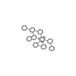 c1ccc(-c2cccc(-c3nc(-c4cccc(-c5ccc(-c6ccccc6)cc5-c5cccc6ccccc56)c4)nc(-c4ccccc4-c4ccccc4)n3)c2)cc1